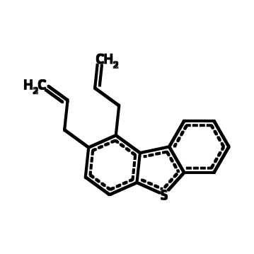 C=CCc1ccc2sc3ccccc3c2c1CC=C